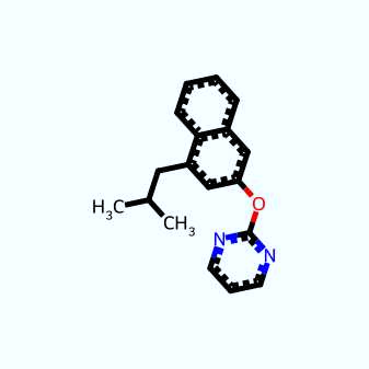 CC(C)Cc1cc(Oc2ncccn2)cc2ccccc12